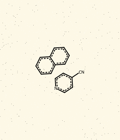 N#Cc1ccncc1.c1ccc2ccccc2c1